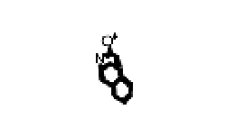 COC1=NC2=Cc3ccccc3C(=C1)C2